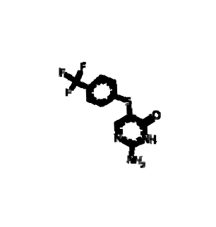 Nc1ncc(Sc2ccc(C(F)(F)F)cc2)c(=O)[nH]1